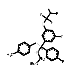 Cc1ccc(C[C@@](NC(=O)OCC(C)C)(c2ccc(F)cc2)c2cc(F)cc(OC(F)(F)C(F)F)c2)cc1